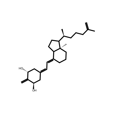 C=C(C)CCC[C@H](C)C1CCC2/C(=C/C=C3C[C@@H](O)C(=C)[C@H](O)C3)CCC[C@@]21C